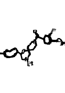 CCN1CC(c2ccc(F)cc2)OC2(CCN(C(=O)c3ccc(OC(C)C)c(F)c3)CC2)C1